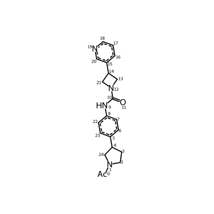 CC(=O)N1CCC(c2ccc(NC(=O)N3CC(c4cccnc4)C3)cc2)C1